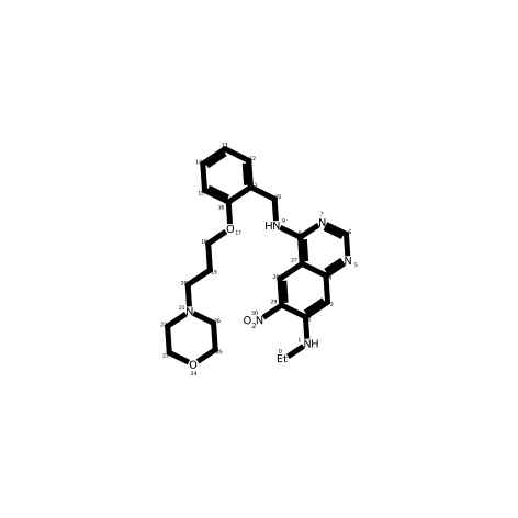 CCNc1cc2ncnc(NCc3ccccc3OCCCN3CCOCC3)c2cc1[N+](=O)[O-]